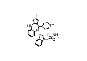 Cc1cc2c(s1)Nc1ccccc1N=C2N1CCN(C)CC1.NS(=O)(=O)Cc1noc2ccccc12